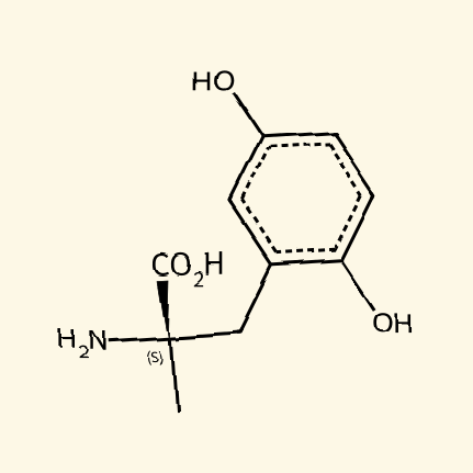 C[C@](N)(Cc1cc(O)ccc1O)C(=O)O